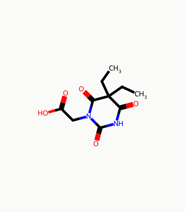 CCC1(CC)C(=O)NC(=O)N(CC(=O)O)C1=O